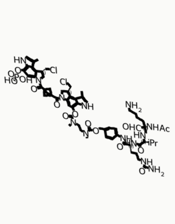 CC(=O)N[C@](C=O)(CCCCN)CN[C@H](C(=O)N[C@@H](CCCNC(N)=O)C(=O)Nc1ccc(COC(=O)N(C)CCN(C)C(=O)Oc2cc3c(c4c(C)c[nH]c24)[C@H](CCl)CN3C(=O)C23CC(C(=O)N4C[C@@H](CCl)c5c4cc(OP(=O)(O)O)c4[nH]cc(C)c54)(C2)C3)cc1)C(C)C